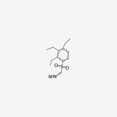 CCc1ccc(S(=O)(=O)C=[N+]=[N-])c(CC)c1CC